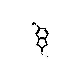 CCCc1ccc2c(c1)CC(N)C2